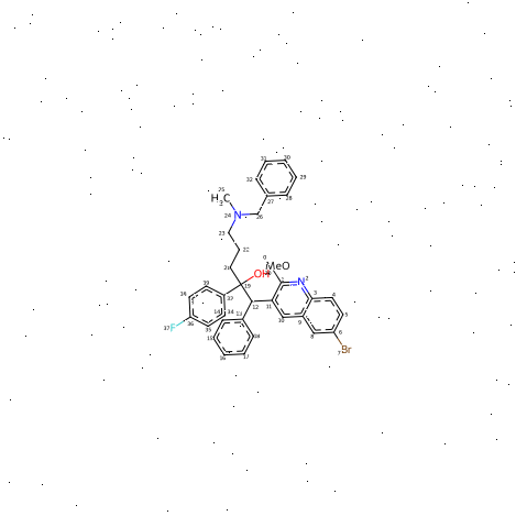 COc1nc2ccc(Br)cc2cc1C(c1ccccc1)C(O)(CCCN(C)Cc1ccccc1)c1ccc(F)cc1